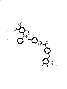 COc1cc2c(cc1OC)C(c1ccccc1)N(Cc1ccc(CNC(=O)c3ccc(Cc4ccc(C)c(C)c4OC)cc3)cc1)CC2